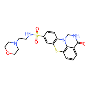 O=C1NCN2c3ccc(S(=O)(=O)NCCN4CCOCC4)cc3Sc3cccc1c32